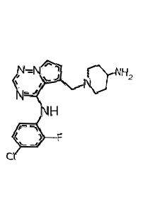 NC1CCN(Cc2ccn3ncnc(Nc4ccc(Cl)cc4F)c23)CC1